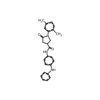 Cc1ccc(C)c(N2CC(C(=O)Nc3ccc(Nc4ccccc4)cc3)CC2=O)c1